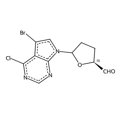 O=C[C@@H]1CCC(n2cc(Br)c3c(Cl)ncnc32)O1